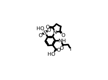 O=C(CI)Nc1c(C(=O)O)ccc(S(=O)(=O)O)c1N1C(=O)CCC1=O